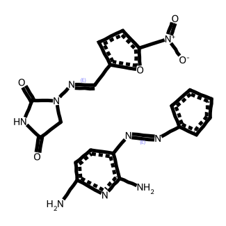 Nc1ccc(/N=N/c2ccccc2)c(N)n1.O=C1CN(/N=C/c2ccc([N+](=O)[O-])o2)C(=O)N1